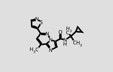 Cc1cc(-c2ccns2)nn2c(C(=O)NC(C)(C)C3CC3)cnc12